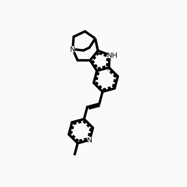 Cc1ccc(C=Cc2ccc3[nH]c4c(c3c2)CN2CCC4CC2)cn1